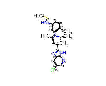 CCN(/C(C)=C\C(C)c1nc2cc(Cl)cnc2[nH]1)c1cc(NSC)ccc1C